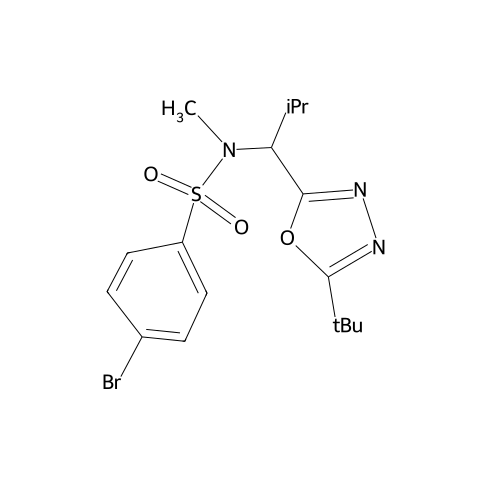 CC(C)C(c1nnc(C(C)(C)C)o1)N(C)S(=O)(=O)c1ccc(Br)cc1